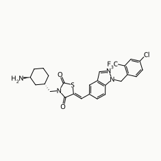 N[C@H]1CCC[C@H](CN2C(=O)SC(=Cc3ccc4c(cnn4Cc4ccc(Cl)cc4C(F)(F)F)c3)C2=O)C1